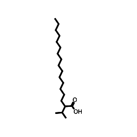 CCCCCCCCCCCCCCCC(C(=O)O)C(C)C